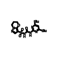 CC(C)(C)c1cc(C(C)(C)C)nc(NC(=O)NS(=O)(=O)c2cnn3c2OCCC3)n1